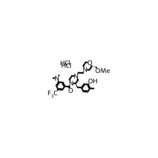 COC[C@@H]1CN(CCN2CCN(C(=O)c3cc(N(C)C)cc(C(F)(F)F)c3)[C@H](Cc3ccc(C)c(O)c3)C2)CCO1.Cl.Cl